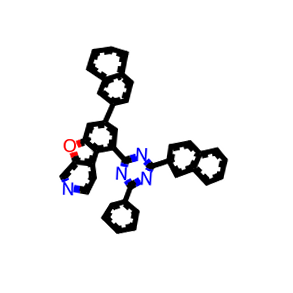 c1ccc(-c2nc(-c3ccc4ccccc4c3)nc(-c3cc(-c4ccc5ccccc5c4)cc4oc5cnccc5c34)n2)cc1